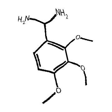 COc1ccc(C(N)N)c(OC)c1OC